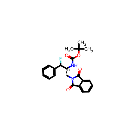 CC(C)(C)OC(=O)N[C@H](CN1C(=O)c2ccccc2C1=O)C(F)c1ccccc1